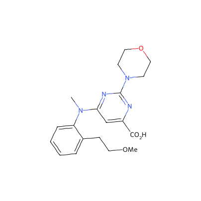 COCCc1ccccc1N(C)c1cc(C(=O)O)nc(N2CCOCC2)n1